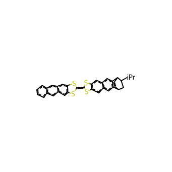 CC(C)C1CC2C=CC1c1cc3cc4c(cc3cc12)SC(=C1Sc2cc3cc5ccccc5cc3cc2S1)S4